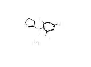 Cc1cc(N)cc(C)c1NC1=NCCC1.Cl.Cl